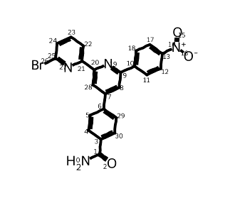 NC(=O)c1ccc(-c2cc(-c3ccc([N+](=O)[O-])cc3)nc(-c3cccc(Br)n3)c2)cc1